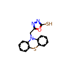 Sc1nnc(CN2c3ccccc3Sc3ccccc32)o1